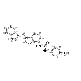 N#Cc1ccc(NC(=O)Nc2cccc3c2CCN3Cc2c[nH]c3ncccc23)cc1